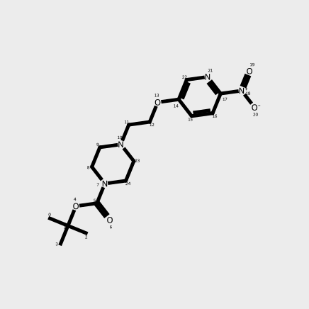 CC(C)(C)OC(=O)N1CCN(CCOc2ccc([N+](=O)[O-])nc2)CC1